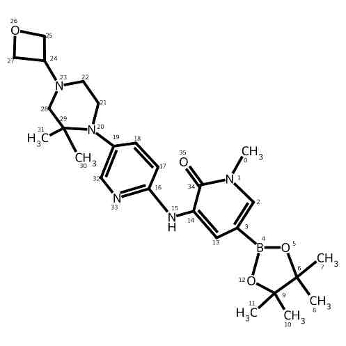 Cn1cc(B2OC(C)(C)C(C)(C)O2)cc(Nc2ccc(N3CCN(C4COC4)CC3(C)C)cn2)c1=O